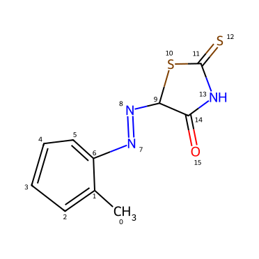 Cc1ccccc1N=NC1SC(=S)NC1=O